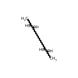 CCCCCCC(O)CCC(O)CCCCCCCCCCCCCCCCCCC(O)CCC(O)CCCCCC